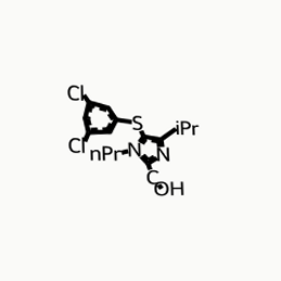 CCCn1c(CO)nc(C(C)C)c1Sc1cc(Cl)cc(Cl)c1